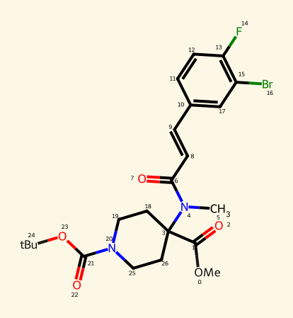 COC(=O)C1(N(C)C(=O)C=Cc2ccc(F)c(Br)c2)CCN(C(=O)OC(C)(C)C)CC1